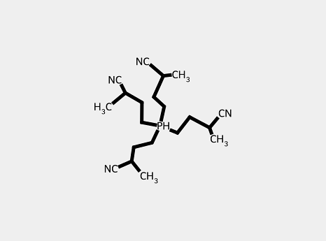 CC(C#N)CC[PH](CCC(C)C#N)(CCC(C)C#N)CCC(C)C#N